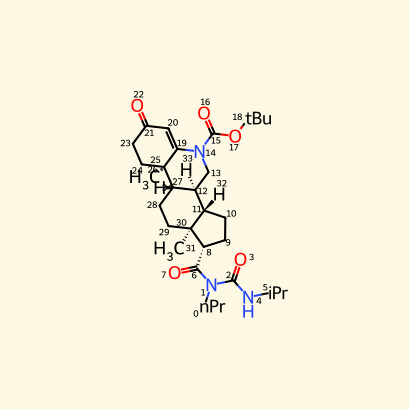 CCCN(C(=O)NC(C)C)C(=O)[C@H]1CC[C@H]2[C@@H]3CN(C(=O)OC(C)(C)C)C4=CC(=O)CC[C@]4(C)[C@H]3CC[C@]12C